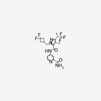 Cc1c([C@@H](C)C(F)(F)F)nn(CC2CC(F)(F)C2)c1C(=O)Nc1ccnc(C(N)=O)c1